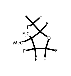 COC1(C(F)(F)F)C(F)(F)C(F)(F)OC1(F)C(C)(F)F